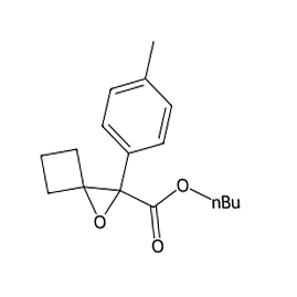 CCCCOC(=O)C1(c2ccc(C)cc2)OC12CCC2